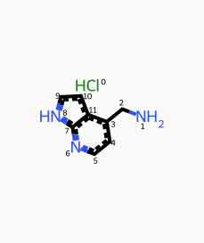 Cl.NCc1ccnc2[nH]ccc12